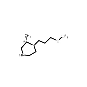 COCCCN1CCNC[C@@H]1C